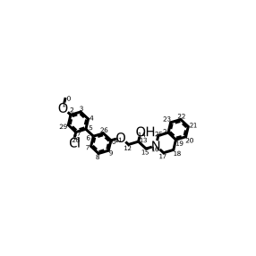 COc1ccc(-c2cccc(OCC(O)CN3CCc4ccccc4C3)c2)c(Cl)c1